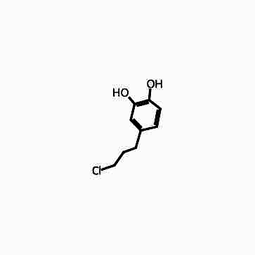 Oc1ccc(CCCCl)cc1O